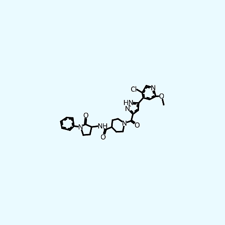 COc1cc(-c2cc(C(=O)N3CCC(C(=O)NC4CCN(c5ccccc5)C4=O)CC3)n[nH]2)c(Cl)cn1